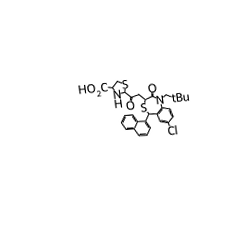 CC(C)(C)CN1C(=O)C(CC(=O)C2NC(C(=O)O)CS2)SC(c2cccc3ccccc23)c2cc(Cl)ccc21